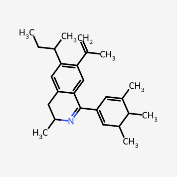 C=C(C)c1cc2c(cc1C(C)CC)CC(C)N=C2C1=CC(C)C(C)C(C)=C1